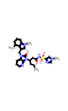 CCCC(CC(=O)NS(=O)(=O)c1cn(C)cn1)n1c(=O)n(Cc2cn(C)c3cccc(C)c23)c2cccnc21